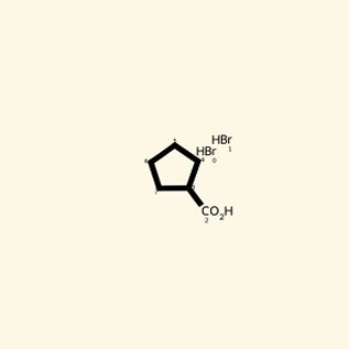 Br.Br.O=C(O)C1CCCC1